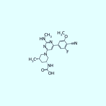 CNc1nc(-c2cc(F)c(C#N)c(OC)c2)cc(N2C[C@H](C)C[C@@H](NC(=O)O)C2)n1